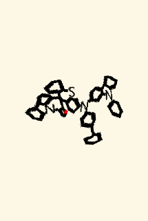 c1ccc(-c2ccc(N(c3ccc4c(c3)Sc3ccccc3C43c4ccccc4-n4c5ccccc5c5cccc3c54)c3ccc4c5ccccc5n(-c5ccccc5)c4c3)cc2)cc1